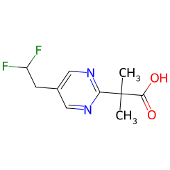 CC(C)(C(=O)O)c1ncc(CC(F)F)cn1